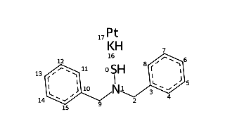 SN(Cc1ccccc1)Cc1ccccc1.[KH].[Pt]